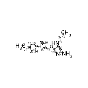 CCCCNc1nc(N)ncc1CCC1=CC(c2ccc(CC)cc2)=NC1